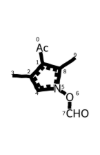 CC(=O)c1c(C)cn(OC=O)c1C